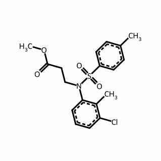 COC(=O)CCN(c1cccc(Cl)c1C)S(=O)(=O)c1ccc(C)cc1